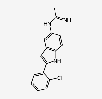 CC(=N)Nc1ccc2[nH]c(-c3ccccc3Cl)cc2c1